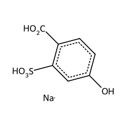 O=C(O)c1ccc(O)cc1S(=O)(=O)O.[Na]